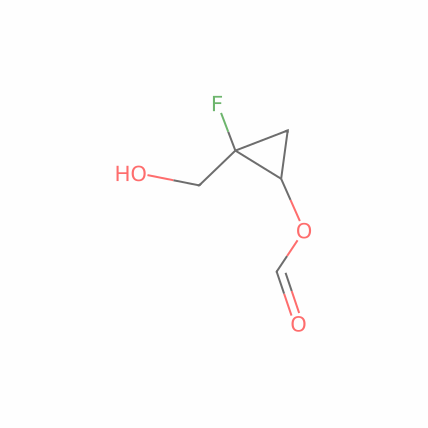 O=COC1CC1(F)CO